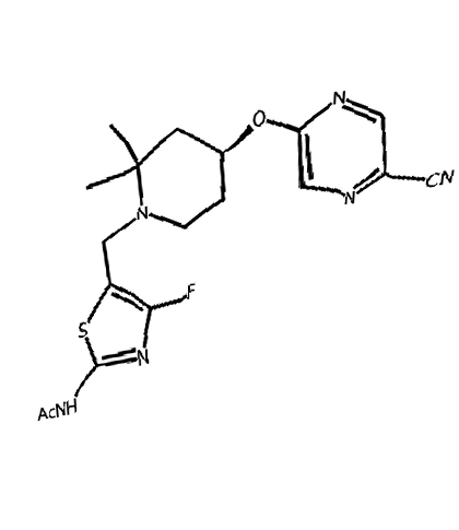 CC(=O)Nc1nc(F)c(CN2CC[C@H](Oc3cnc(C#N)cn3)CC2(C)C)s1